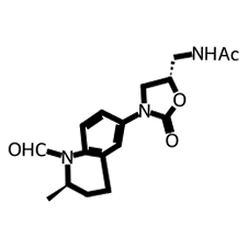 CC(=O)NC[C@H]1CN(c2ccc3c(c2)CC[C@@H](C)N3C=O)C(=O)O1